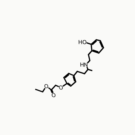 CCOC(=O)COc1ccc(CCC(C)NCCc2ccccc2O)cc1